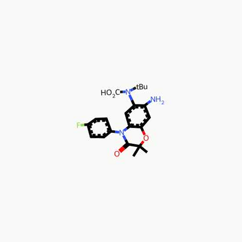 CC1(C)Oc2cc(N)c(N(C(=O)O)C(C)(C)C)cc2N(c2ccc(F)cc2)C1=O